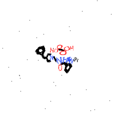 CC(C)n1nc(C(=O)NCCN2CCC(Cc3ccccc3)CC2)c2ccccc21.O=C(O)C(=O)O